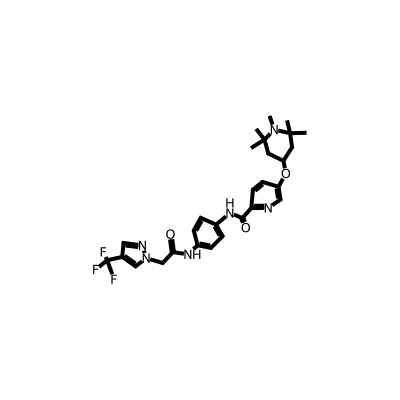 CN1C(C)(C)CC(Oc2ccc(C(=O)Nc3ccc(NC(=O)Cn4cc(C(F)(F)F)cn4)cc3)nc2)CC1(C)C